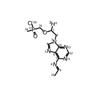 [3H]C(Cn1cnc2c(N=CC)ncnc21)OCP(C)(=O)Cl